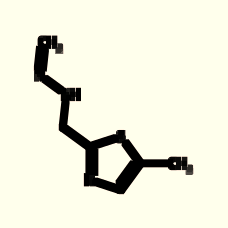 C=NNCc1ncc(C)s1